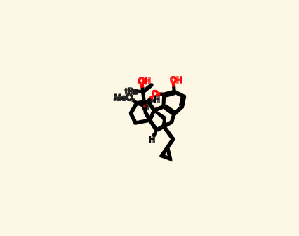 CO[C@]12CCC3(C[C@@H]1C(C)(O)C(C)(C)C)[C@H]1Cc4ccc(O)c5c4[C@@]3(CCC1CC1CC1)[C@H]2O5